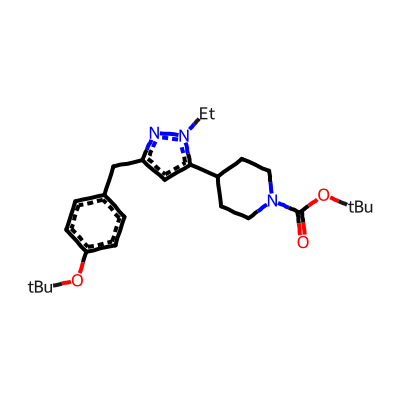 CCn1nc(Cc2ccc(OC(C)(C)C)cc2)cc1C1CCN(C(=O)OC(C)(C)C)CC1